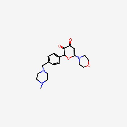 CN1CCN(Cc2ccc(C3OC(N4CCOCC4)=CC(=O)C3=O)cc2)CC1